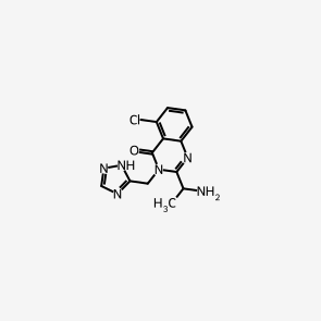 CC(N)c1nc2cccc(Cl)c2c(=O)n1Cc1ncn[nH]1